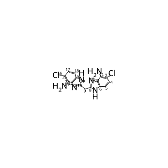 Nc1c(Cl)ccc2[nH]c(Cc3nc4c(N)c(Cl)ccc4[nH]3)nc12